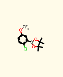 CC1(C)OB(c2cc(OC(F)(F)F)ccc2Cl)OC1(C)C